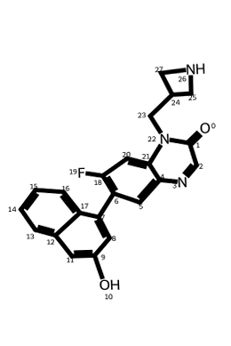 O=c1cnc2cc(-c3cc(O)cc4ccccc34)c(F)cc2n1CC1CNC1